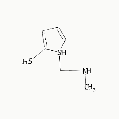 CNC[SH]1C=CC=C1S